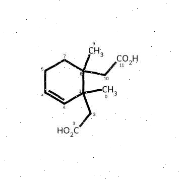 CC1(CC(=O)O)C=CCCC1(C)CC(=O)O